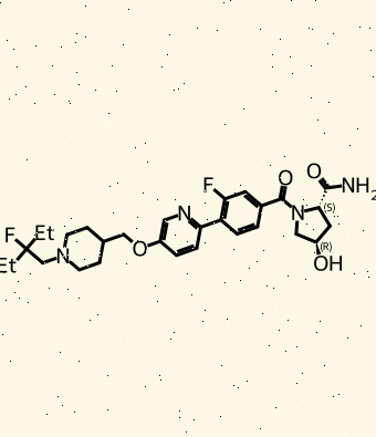 CCC(F)(CC)CN1CCC(COc2ccc(-c3ccc(C(=O)N4C[C@H](O)C[C@H]4C(N)=O)cc3F)nc2)CC1